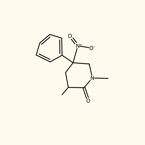 CC1CC(c2ccccc2)([N+](=O)[O-])CN(C)C1=O